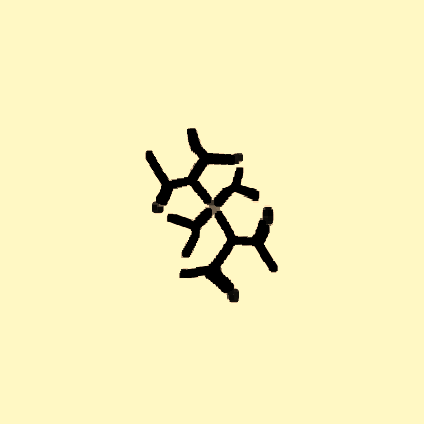 CC(=O)[CH](C(C)=O)[Ti]([CH](C)C)([CH](C)C)[CH](C(C)=O)C(C)=O